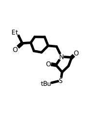 CCC(=O)C1CCC(CN2C(=O)CC(SC(C)(C)C)C2=O)CC1